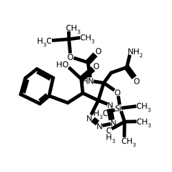 CC(C)(C)OC(=O)NC(CC(N)=O)(O[Si](C)(C)C(C)(C)C)C1(C(Cc2ccccc2)C(=O)O)N=NN=N1